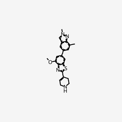 COc1cc(-c2cc(C)c3nn(C)cc3c2)cc2sc(C3=CCNCC3)nc12